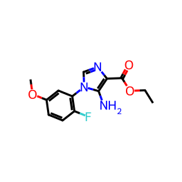 CCOC(=O)c1ncn(-c2cc(OC)ccc2F)c1N